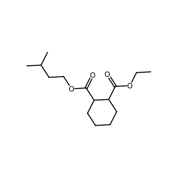 CCOC(=O)C1CCCCC1C(=O)OCCC(C)C